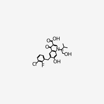 CC(C)[C@@H](CO)n1cc(C(=O)O)c(=O)c2cc(Cc3cccc(Cl)c3F)c(O)cc21